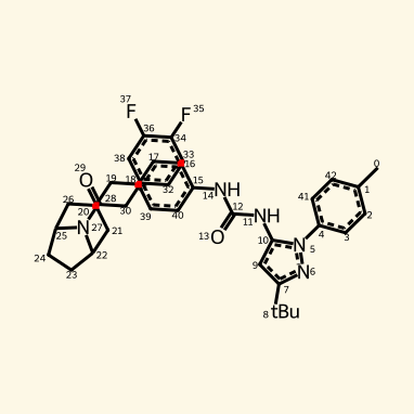 Cc1ccc(-n2nc(C(C)(C)C)cc2NC(=O)Nc2ccc(CC3CC4CCC(C3)N4C(=O)Cc3ccc(F)c(F)c3)cc2)cc1